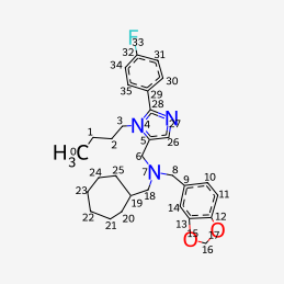 CCCCn1c(CN(Cc2ccc3c(c2)OCO3)CC2CCCCCC2)cnc1-c1ccc(F)cc1